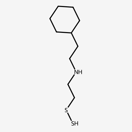 SSCCNCCC1CCCCC1